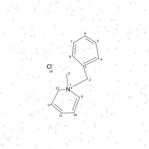 C[N+]1(Cc2ccccc2)C=CC=CC1.[Cl-]